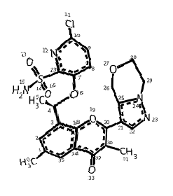 Cc1cc([C@@H](C)Oc2ccc(Cl)nc2S(N)(=O)=O)c2oc(-c3cnn4c3COCC4)c(C)c(=O)c2c1